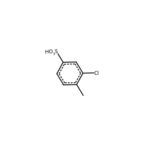 Cc1[c]cc(S(=O)(=O)O)cc1Cl